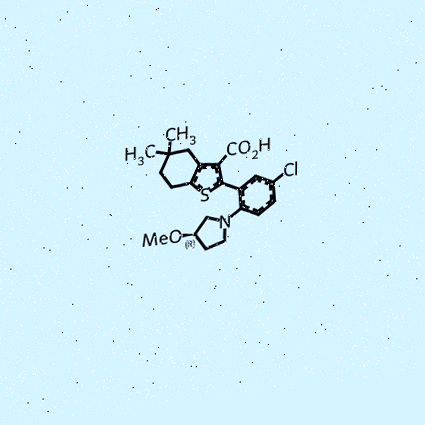 CO[C@@H]1CCN(c2ccc(Cl)cc2-c2sc3c(c2C(=O)O)CC(C)(C)CC3)C1